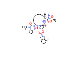 CN(C(=O)N[C@H]1CCCCC/C=C\[C@@H]2C[C@@]2(C(=O)NS(=O)(=O)C2CC2)NC(=O)[C@@H]2C[C@@H](OC(=O)N3Cc4cccc(F)c4C3)CN2C1=O)C1CCCC1